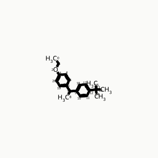 CCOc1ccc(C(C)c2ccc(C(C)(C)C)cc2)cc1